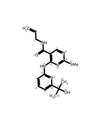 C=CCNC(=O)c1cnc(SC)nc1Nc1cccc(C(C)(C)O)n1